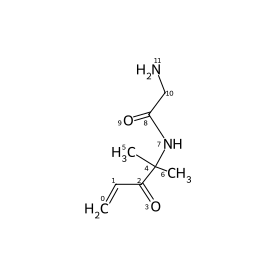 C=CC(=O)C(C)(C)NC(=O)CN